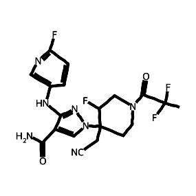 CC(F)(F)C(=O)N1CCC(CC#N)(n2cc(C(N)=O)c(Nc3ccc(F)nc3)n2)C(F)C1